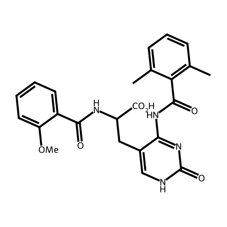 COc1ccccc1C(=O)NC(Cc1c[nH]c(=O)nc1NC(=O)c1c(C)cccc1C)C(=O)O